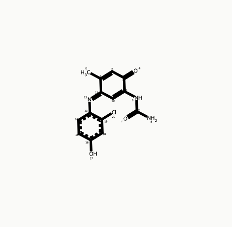 CC1=CC(=O)C(NC(N)=O)=CC1=Nc1ccc(O)cc1Cl